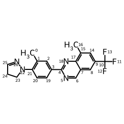 Cc1cc(-c2ncc3cc(C(F)(F)F)cc(C)c3n2)ccc1N1CCC=N1